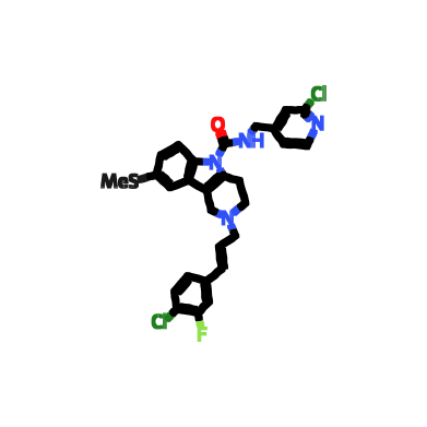 CSc1ccc2c(c1)c1c(n2C(=O)NCc2ccnc(Cl)c2)CCN(C/C=C/c2ccc(Cl)c(F)c2)C1